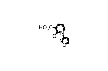 O=C(O)c1cccn(-c2ccon2)c1=O